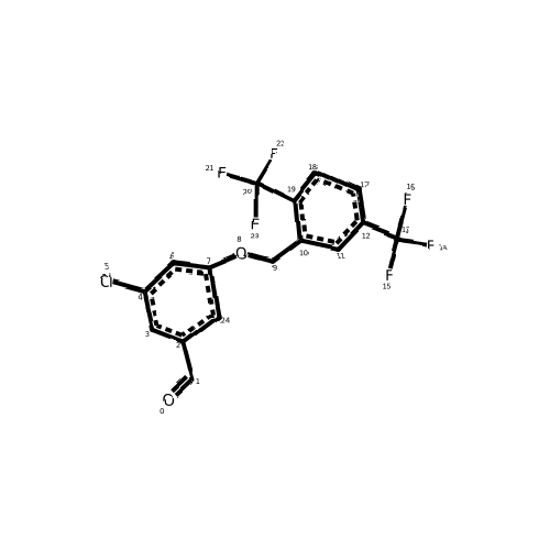 O=Cc1cc(Cl)cc(OCc2cc(C(F)(F)F)ccc2C(F)(F)F)c1